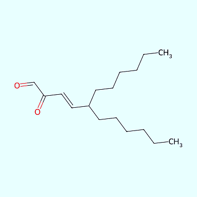 CCCCCCC(/C=C/C(=O)C=O)CCCCCC